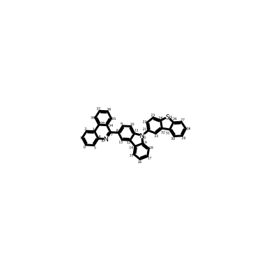 c1ccc2c(c1)nc(-c1ccc3c(c1)c1ccccc1n3-c1ccc3sc4ccccc4c3c1)c1ccccc12